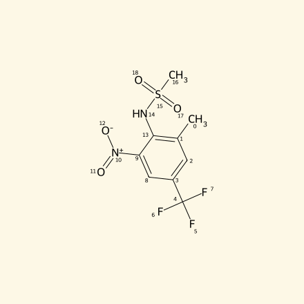 Cc1cc(C(F)(F)F)cc([N+](=O)[O-])c1NS(C)(=O)=O